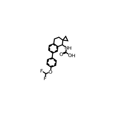 O=C(O)NC1c2cc(-c3ccc(OC(F)F)cc3)ccc2CCC12CC2